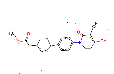 COC(=O)CC1CCC(c2ccc(N3CCC(O)=C(C#N)C3=O)cc2)CC1